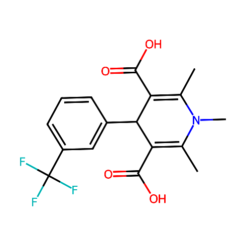 CC1=C(C(=O)O)C(c2cccc(C(F)(F)F)c2)C(C(=O)O)=C(C)N1C